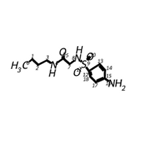 CCCCNC(=O)CNS(=O)(=O)c1ccc(N)cc1